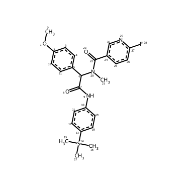 COc1ccc(C(C(=O)Nc2ccc(S(C)(C)C)cc2)N(C)C(=O)c2ccc(F)nc2)cc1